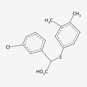 Cc1ccc(SC(C(=O)O)c2cccc(Cl)c2)cc1C